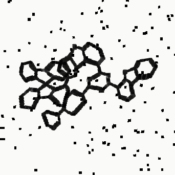 c1ccc(-c2ccc(-c3nc(-c4cccc5c4oc4ccccc45)nc(-c4cccc5oc6ccc(-c7cccc8c7C7(c9ccccc9-c9ccccc97)c7ccccc7-8)cc6c45)n3)cc2)cc1